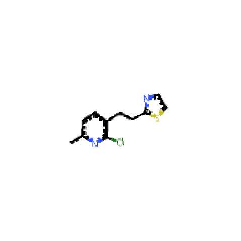 Cc1ccc(CCc2nccs2)c(Cl)n1